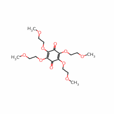 COCCOC1=C(OCCOC)C(=O)C(OCCOC)=C(OCCOC)C1=O